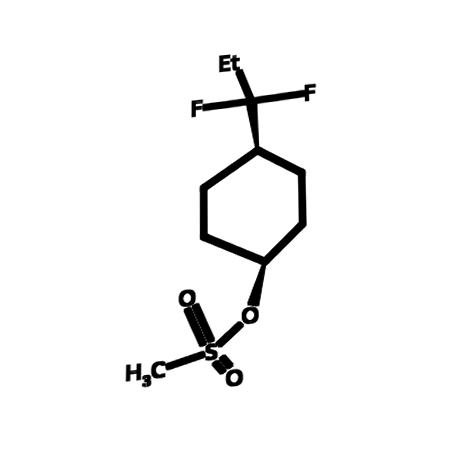 CCC(F)(F)[C@H]1CC[C@@H](OS(C)(=O)=O)CC1